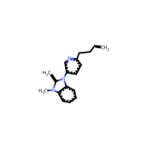 C=CCCc1ccc(N2C(=C)N(C)c3ccccc32)cn1